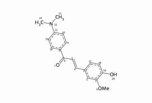 COc1cc(/C=C/C(=O)c2ccc(N(C)C)cc2)ccc1O